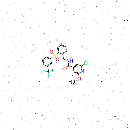 COc1cc(C(=O)NCc2ccccc2S(=O)(=O)c2cccc(C(F)(F)F)c2)cc(Cl)n1